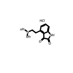 CCCN(CCC)CCc1cccc2c1C(=O)C(=O)N2.Cl